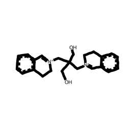 OCC(CO)(C[N+]1=Cc2ccccc2CC1)C[N+]1=Cc2ccccc2CC1